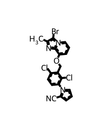 Cc1nc2c(OCc3c(Cl)ccc(-n4cccc4C#N)c3Cl)cccn2c1Br